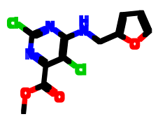 COC(=O)c1nc(Cl)nc(NCc2ccco2)c1Cl